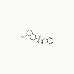 CC(=O)Oc1cccc2cc(S(=O)(=O)NCc3ccccn3)ccc12